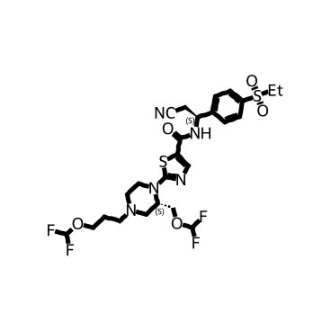 CCS(=O)(=O)c1ccc([C@H](CC#N)NC(=O)c2cnc(N3CCN(CCCOC(F)F)C[C@H]3COC(F)F)s2)cc1